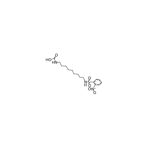 O=C(O)NCCCCCCCCCNS(=O)(=O)c1ccccc1[N+](=O)[O-]